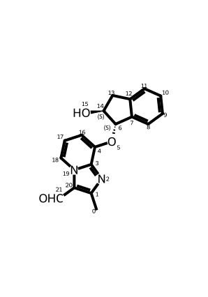 Cc1nc2c(O[C@H]3c4ccccc4C[C@@H]3O)cccn2c1C=O